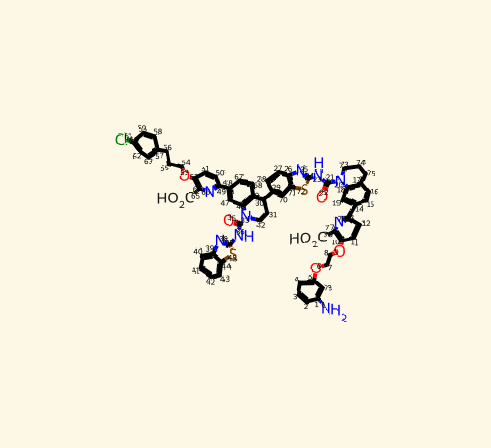 Nc1cccc(OCCOc2ccc(-c3ccc4c(c3)N(C(=O)Nc3nc5ccc(C6CCN(C(=O)Nc7nc8ccccc8s7)c7cc(-c8ccc(OCCCc9ccc(Cl)cc9)c(C(=O)O)n8)ccc76)cc5s3)CCC4)nc2C(=O)O)c1